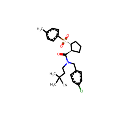 Cc1ccc(S(=O)(=O)[C@@H]2CCC[C@H]2C(=O)N(CCC(C)(C)C#N)Cc2ccc(Cl)cc2)cc1